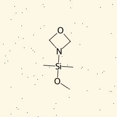 CO[Si](C)(C)N1COC1